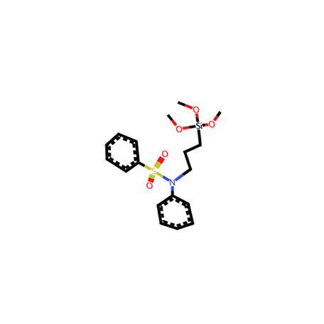 CO[Si](CCCN(c1ccccc1)S(=O)(=O)c1ccccc1)(OC)OC